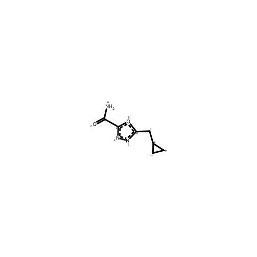 NC(=O)c1nnc(CC2CC2)o1